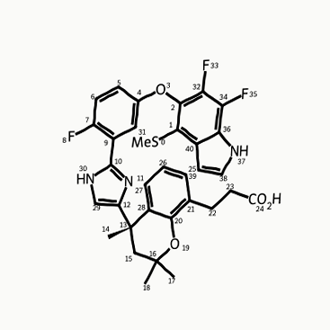 CSc1c(Oc2ccc(F)c(-c3nc([C@@]4(C)CC(C)(C)Oc5c(CCC(=O)O)cccc54)c[nH]3)c2)c(F)c(F)c2[nH]ccc12